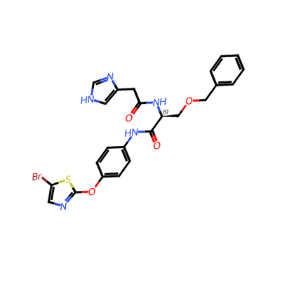 O=C(Cc1c[nH]cn1)N[C@@H](COCc1ccccc1)C(=O)Nc1ccc(Oc2ncc(Br)s2)cc1